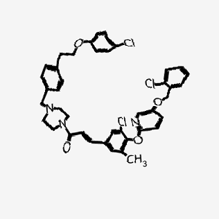 Cc1cc(C=CC(=O)N2CCN(Cc3ccc(CCOc4ccc(Cl)cc4)cc3)CC2)cc(Cl)c1Oc1ccc(OCc2ccccc2Cl)cn1